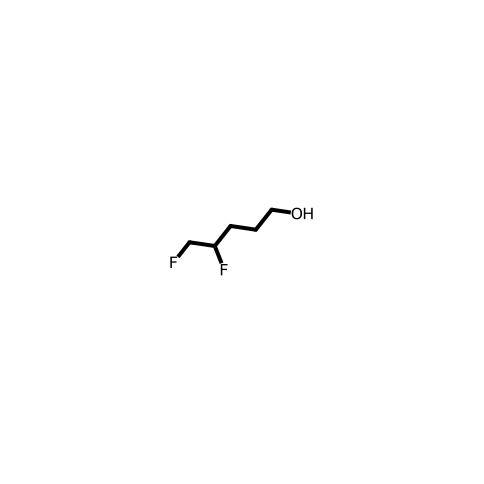 OCCCC(F)CF